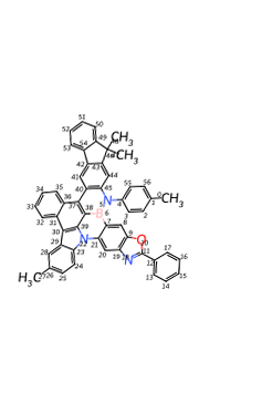 Cc1ccc(N2B3c4cc5oc(-c6ccccc6)nc5cc4-n4c5ccc(C)cc5c5c6ccccc6c(c3c54)-c3cc4c(cc32)C(C)(C)c2ccccc2-4)cc1